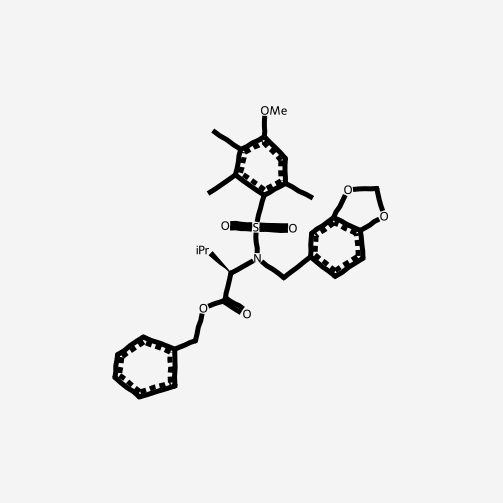 COc1cc(C)c(S(=O)(=O)N(Cc2ccc3c(c2)OCO3)[C@@H](C(=O)OCc2ccccc2)C(C)C)c(C)c1C